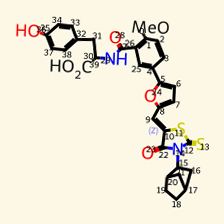 COc1ccc(-c2ccc(/C=C3\SC(=S)N(C4CC5CCC4C5)C3=O)o2)cc1C(=O)NC(Cc1ccc(O)cc1)C(=O)O